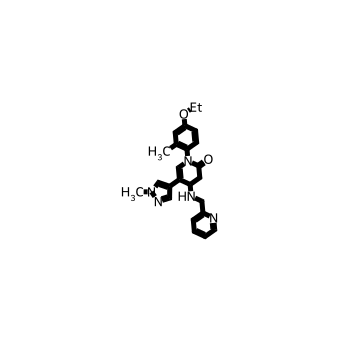 CCOc1ccc(N2C=C(c3cnn(C)c3)C(NCc3ccccn3)CC2=O)c(C)c1